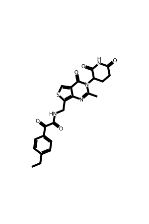 CCc1ccc(C(=O)C(=O)NCc2scc3c(=O)n(C4CCC(=O)NC4=O)c(C)nc23)cc1